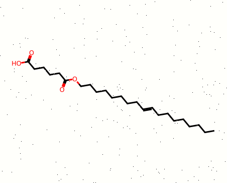 CCCCCCCCC=CCCCCCCCCOC(=O)CCCCC(=O)O